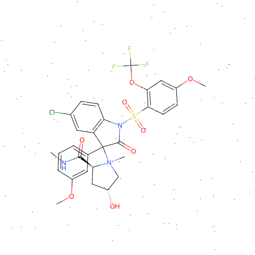 CNC(=O)[C@@H]1C[C@@H](O)C[N+]1(C)C1(c2cccc(OC)c2)C(=O)N(S(=O)(=O)c2ccc(OC)cc2OC(F)(F)F)c2ccc(Cl)cc21